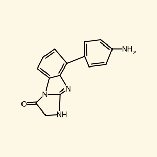 Nc1ccc(-c2cccc3c2nc2n3C(=O)CN2)cc1